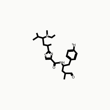 [3H]c1ccc(CC(CC(C)C=O)NC(=O)c2csc(C(C)CC(C(C)C)N(C)CC)n2)cc1